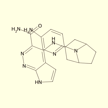 NC(=O)c1nnc2[nH]ccc2c1NC1CC2CCC(C1)N2c1ccc(N)cn1